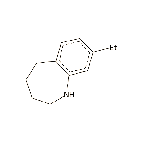 CCc1ccc2c(c1)NCCCC2